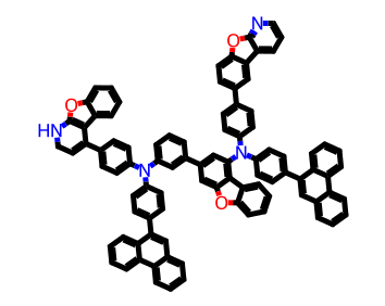 C1=C(c2ccc(N(c3ccc(-c4cc5ccccc5c5ccccc45)cc3)c3cccc(-c4cc(N(c5ccc(-c6ccc7oc8ncccc8c7c6)cc5)c5ccc(-c6cc7ccccc7c7ccccc67)cc5)c5c(c4)oc4ccccc45)c3)cc2)c2c(oc3ccccc23)NC1